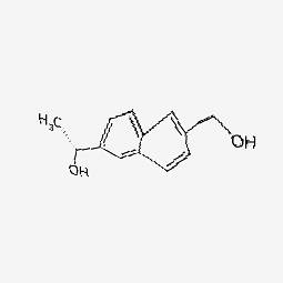 C[C@@H](O)c1ccc2cc(CO)ccc2c1